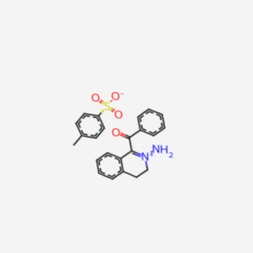 Cc1ccc(S(=O)(=O)[O-])cc1.N[N+]1=C(C(=O)c2ccccc2)c2ccccc2CC1